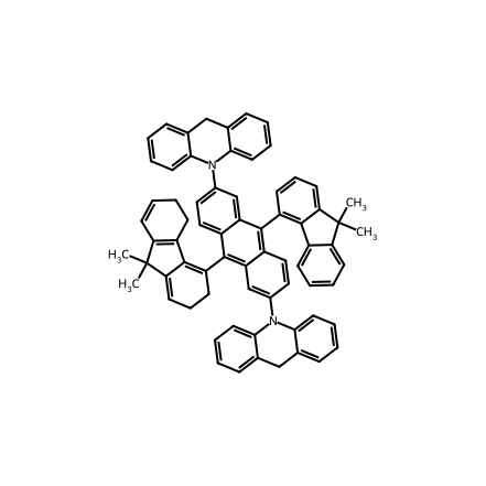 CC1(C)C2=CCCC(c3c4cc(N5c6ccccc6Cc6ccccc65)ccc4c(-c4cccc5c4-c4ccccc4C5(C)C)c4cc(N5c6ccccc6Cc6ccccc65)ccc34)=C2C2=C1C=CCC2